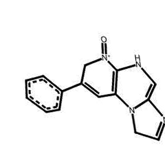 O=[N+]1CC(c2ccccc2)=CC2=C1NC=C1N=CCN12